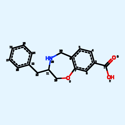 O=C(O)c1ccc2c(c1)OCC(Cc1ccccc1)NC2